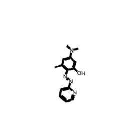 Cc1cc(N(C)C)cc(O)c1/N=N/c1ccccn1